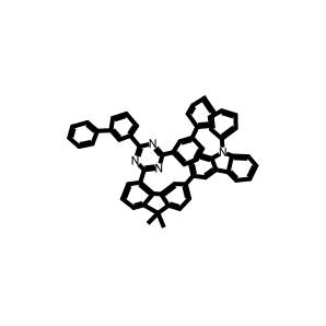 CC1(C)c2ccc(-c3ccc4c(c3)c3ccccc3n4-c3ccccc3)cc2-c2c(-c3nc(-c4cccc(-c5ccccc5)c4)nc(-c4cccc(-c5ccccc5)c4)n3)cccc21